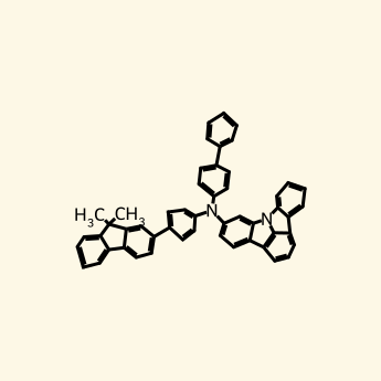 CC1(C)c2ccccc2-c2ccc(-c3ccc(N(c4ccc(-c5ccccc5)cc4)c4ccc5c6cccc7c8ccccc8n(c5c4)c76)cc3)cc21